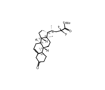 COC(=O)C(F)(F)C[C@@H](C)[C@H]1CC[C@H]2[C@@H]3CC=C4CC(=O)CC[C@]4(C)[C@H]3CC[C@]12C